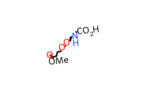 COC(=O)CCCOCOC=CNCC(=O)O